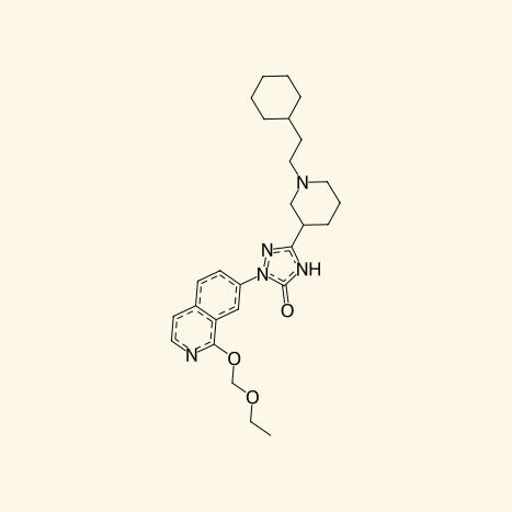 CCOCOc1nccc2ccc(-n3nc(C4CCCN(CCC5CCCCC5)C4)[nH]c3=O)cc12